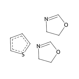 C1=NCCO1.C1=NCCO1.c1ccsc1